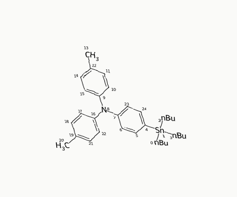 CCC[CH2][Sn]([CH2]CCC)([CH2]CCC)[c]1ccc(N(c2ccc(C)cc2)c2ccc(C)cc2)cc1